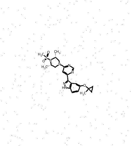 C[C@@H]1CN(c2cc(-c3n[nH]c4ccc(OC5(C)CC5)cc34)ncn2)C[C@H](C)N1S(C)(=O)=O